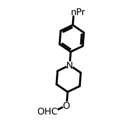 CCCc1ccc(N2CCC(OC=O)CC2)cc1